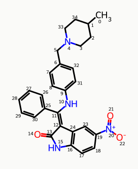 CC1CCN(Cc2ccc(NC(=C3C(=O)Nc4ccc([N+](=O)[O-])cc43)c3ccccc3)cc2)CC1